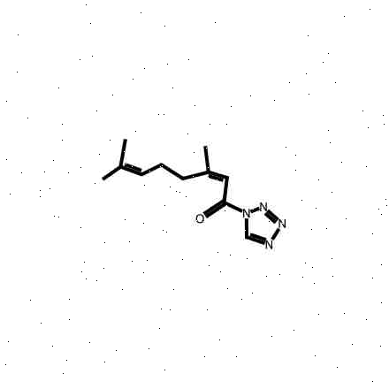 CC(C)=CCC/C(C)=C\C(=O)n1cnnn1